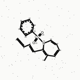 C=CC=CC1=C(C)C=CC=CN1S(=O)(=O)c1ccccc1